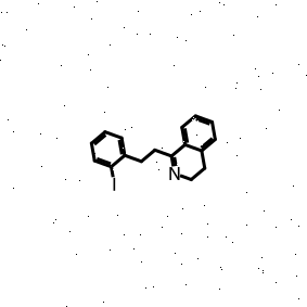 Ic1ccccc1CCC1=NCCc2ccccc21